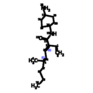 C=C/C(=C\C=C(/C)CCCC)C(=O)NC1CCC(N)CC1